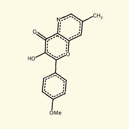 COc1ccc(-c2oc3cc(C)cnc3c(=O)c2O)cc1